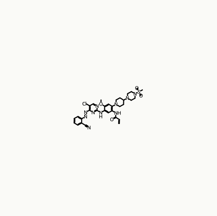 C=CC(=O)Nc1cc(Nc2ncc(Cl)c(N=Nc3ccccc3C#N)n2)c(OC)cc1N1CCC(N2CCN(S(C)(=O)=O)CC2)CC1